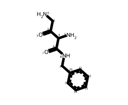 NCC(=O)C(N)C(=O)NCc1ccccc1